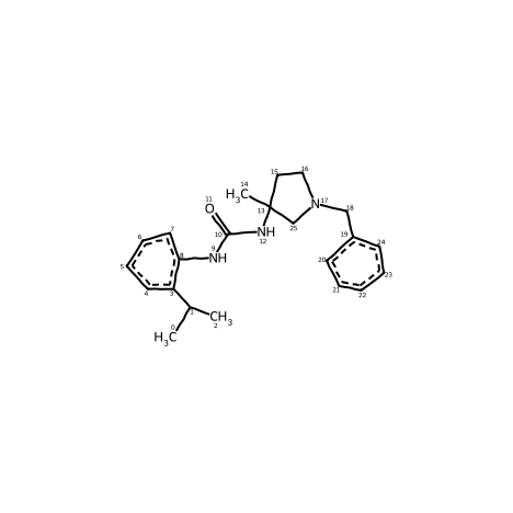 CC(C)c1ccccc1NC(=O)NC1(C)CCN(Cc2ccccc2)C1